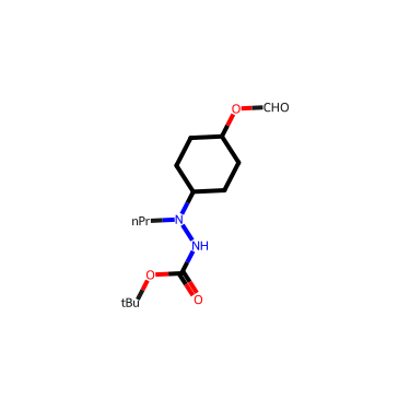 CCCN(NC(=O)OC(C)(C)C)C1CCC(OC=O)CC1